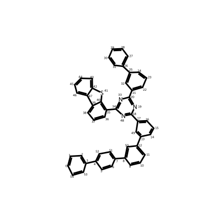 c1ccc(-c2ccc(-c3cccc(-c4cccc(-c5nc(-c6cccc(-c7ccccc7)c6)nc(-c6cccc7c6sc6ccccc67)n5)c4)c3)cc2)cc1